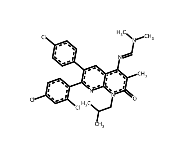 Cc1c(N=CN(C)C)c2cc(-c3ccc(Cl)cc3)c(-c3ccc(Cl)cc3Cl)nc2n(CC(C)C)c1=O